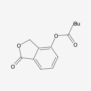 CCC(C)C(=O)Oc1cccc2c1COC2=O